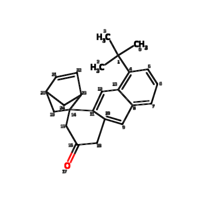 CC(C)(C)c1cccc2cc3c(cc12)C1(CC(=O)C3)CC2C=CC1C2